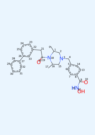 CC1CN(Cc2ccc(C(=O)NO)cc2)CC(C)N1C(=O)Cc1cccc(-c2ccccc2)c1